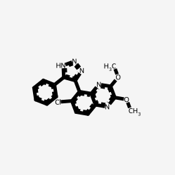 COc1nc2ccc(Cl)c(-c3nn[nH]c3-c3ccccc3)c2nc1OC